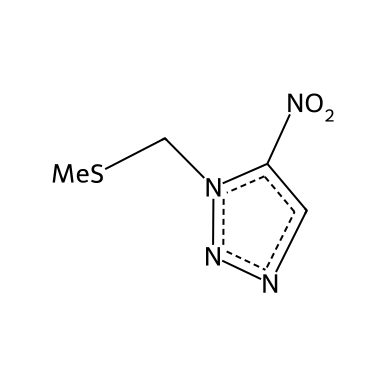 CSCn1nncc1[N+](=O)[O-]